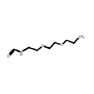 CCCOCCOCCNC=O